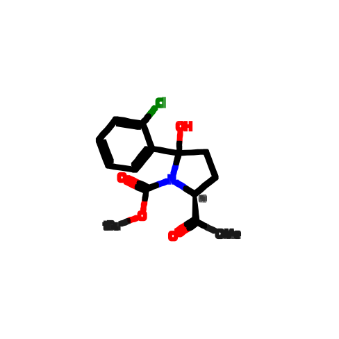 COC(=O)[C@@H]1CCC(O)(c2ccccc2Cl)N1C(=O)OC(C)(C)C